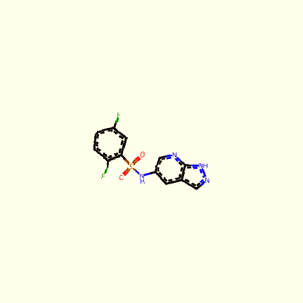 O=S(=O)(Nc1cnc2[nH]ncc2c1)c1cc(F)ccc1F